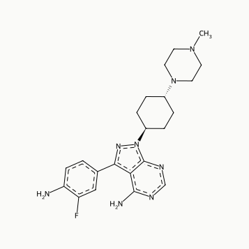 CN1CCN([C@H]2CC[C@H](n3nc(-c4ccc(N)c(F)c4)c4c(N)ncnc43)CC2)CC1